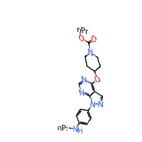 CCCNc1ccc(-n2ncc3c(OC4CCN(C(=O)OCCC)CC4)ncnc32)cc1